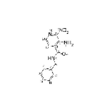 Nc1c(C(=O)NCc2ccccc2)ccnc1[N+](=O)[O-]